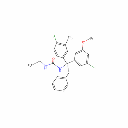 CC(C)Oc1cc(F)cc([C@@](Cc2ccccc2)(NC(=O)NCC(F)(F)F)c2ccc(F)c(C(F)(F)F)c2)c1